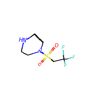 O=S(=O)(CC(F)(F)F)N1CCNCC1